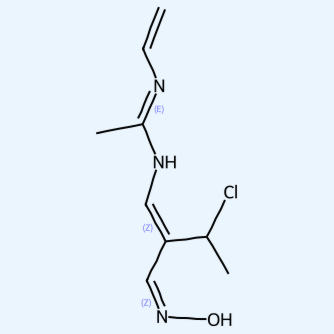 C=C/N=C(\C)N/C=C(/C=N\O)C(C)Cl